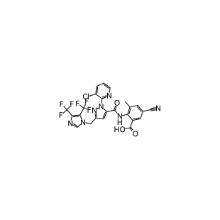 Cc1cc(C#N)cc(C(=O)O)c1NC(=O)c1cc(Cn2cnc(C(F)(F)F)c2C(F)(F)F)nn1-c1ncccc1Cl